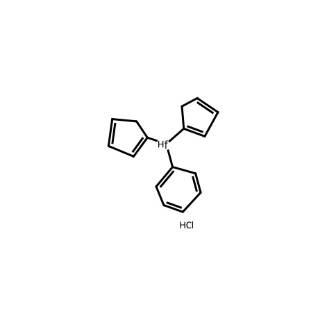 C1=CC[C]([Hf]([C]2=CC=CC2)[c]2ccccc2)=C1.Cl